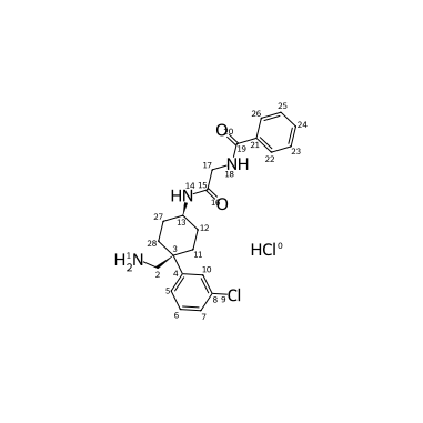 Cl.NC[C@]1(c2cccc(Cl)c2)CC[C@H](NC(=O)CNC(=O)c2ccccc2)CC1